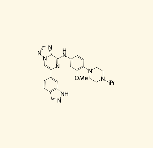 COc1cc(Nc2nc(-c3ccc4cn[nH]c4c3)cn3ncnc23)ccc1N1CCN(C(C)C)CC1